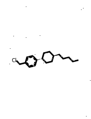 CCCCC[C@H]1CC[C@H](c2ccc(CCl)cc2)CC1